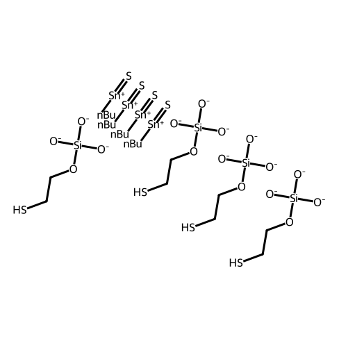 CCC[CH2][Sn+]=[S].CCC[CH2][Sn+]=[S].CCC[CH2][Sn+]=[S].CCC[CH2][Sn+]=[S].[O-][Si]([O-])([O-])OCCS.[O-][Si]([O-])([O-])OCCS.[O-][Si]([O-])([O-])OCCS.[O-][Si]([O-])([O-])OCCS